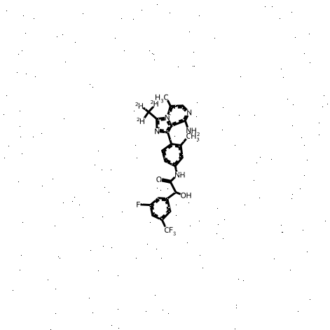 [2H]C([2H])([2H])c1nc(-c2ccc(NC(=O)C(O)c3cc(F)cc(C(F)(F)F)c3)cc2C)c2c(N)ncc(C)n12